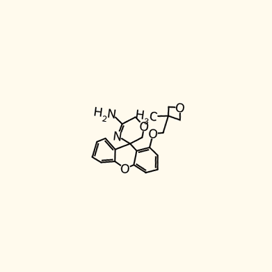 CC1(COc2cccc3c2C2(COCC(N)=N2)c2ccccc2O3)COC1